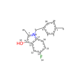 Cc1ccc(Cn2c(C)c(O)c3cc(F)ccc32)cc1